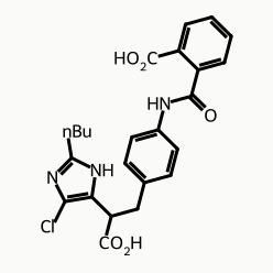 CCCCc1nc(Cl)c(C(Cc2ccc(NC(=O)c3ccccc3C(=O)O)cc2)C(=O)O)[nH]1